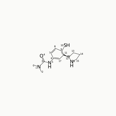 CN(C)C(=O)Nc1ccc(S)c([C@H]2CCCN2)c1